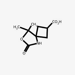 CC1(C)OC(=O)NC12CC(C(=O)O)C2